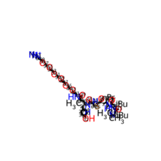 CCCO[C@H](C[C@H](C(C)C)N(CCC)C(=O)[C@@H](NC(=O)[C@@H]([C@@H](C)CC)N(C)C)[C@@H](C)CC)c1nc(C(=O)N[C@@H](Cc2ccc(O)cc2)C[C@H](C)C(=O)NCCOCCOCCOCCOCCOCCOCCN=[N+]=[N-])cs1